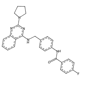 O=C(Nc1ccc(CNc2nc(N3CCCC3)nc3ccccc23)cc1)c1ccc(F)cc1